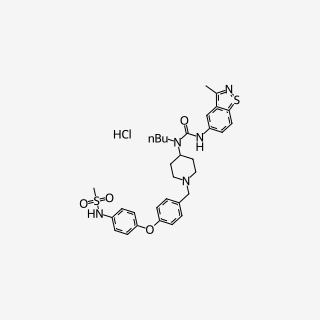 CCCCN(C(=O)Nc1ccc2snc(C)c2c1)C1CCN(Cc2ccc(Oc3ccc(NS(C)(=O)=O)cc3)cc2)CC1.Cl